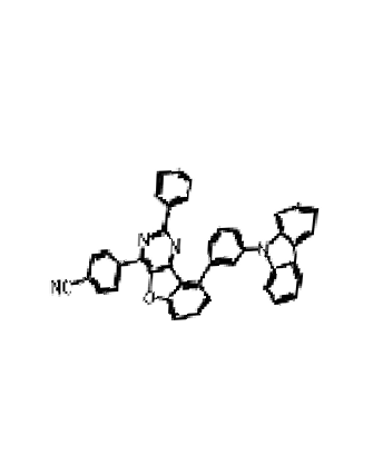 N#Cc1ccc(-c2nc(-c3ccccc3)nc3c2oc2cccc(-c4cccc(-n5c6ccccc6c6ccccc65)c4)c23)cc1